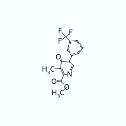 COC(=O)C1=C(C)C(=O)C(c2cccc(C(F)(F)F)c2)C=N1